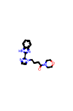 O=C(CCCn1ccnc1-c1nc2ccccc2[nH]1)N1CCOCC1